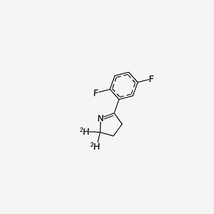 [2H]C1([2H])CCC(c2cc(F)ccc2F)=N1